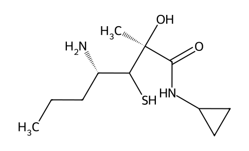 CCC[C@H](N)C(S)[C@@](C)(O)C(=O)NC1CC1